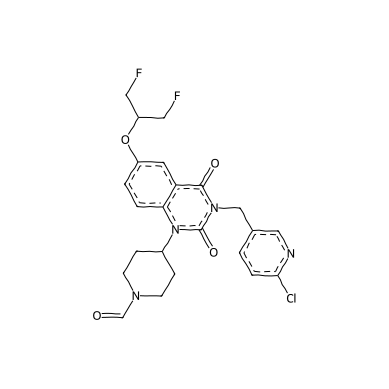 O=CN1CCC(n2c(=O)n(Cc3ccc(Cl)nc3)c(=O)c3cc(OC(CF)CF)ccc32)CC1